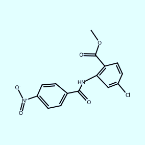 COC(=O)c1ccc(Cl)cc1NC(=O)c1ccc([N+](=O)[O-])cc1